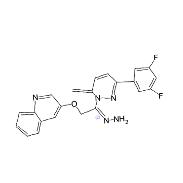 C=C1C=CC(c2cc(F)cc(F)c2)=NN1/C(COc1cnc2ccccc2c1)=N\N